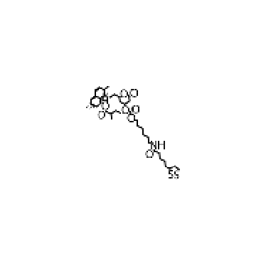 CCC(C)C(=O)OC1C[C@H](C)C=C2C=CC(C)[C@H](CCC3CC(OC(=O)OCCCCCCNC(=O)CCCCC4CCSS4)CC(=O)O3)[C@@H]21